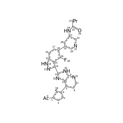 CC(=O)c1ccc(-c2ccnc3[nH]c(-c4n[nH]c5ccc(-c6cncc(NC(=O)C(C)C)c6)c(F)c45)nc23)s1